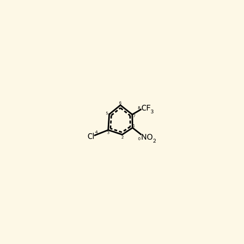 O=[N+]([O-])c1cc(Cl)ccc1C(F)(F)F